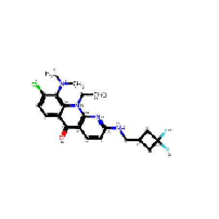 CN(C)c1c(Cl)ccc2c(=O)c3ccc(NCC4CC(F)(F)C4)nc3n(CC=O)c12